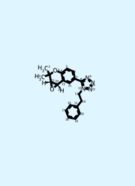 CC1(C)Oc2ccc(-c3nnnn3CCc3ccccc3)cc2[C@@H]2O[C@@H]21